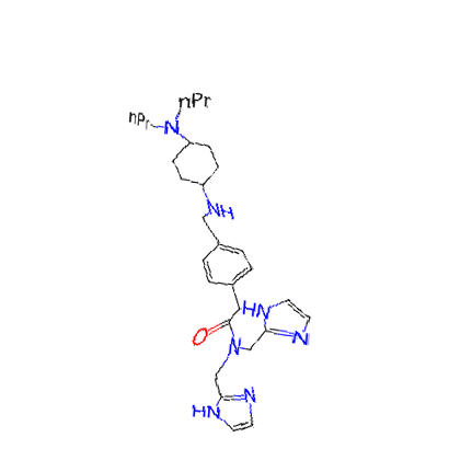 CCCN(CCC)C1CCC(NCc2ccc(CC(=O)N(Cc3ncc[nH]3)Cc3ncc[nH]3)cc2)CC1